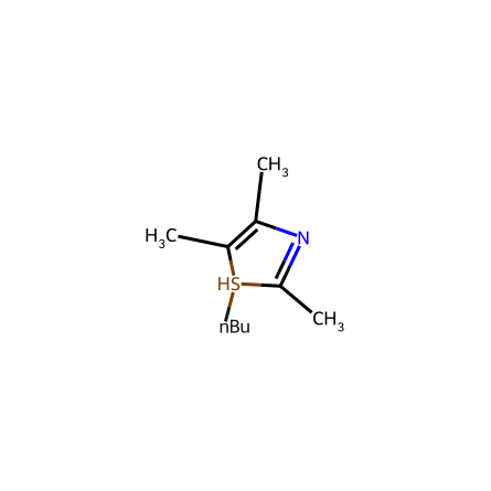 CCCC[SH]1C(C)=NC(C)=C1C